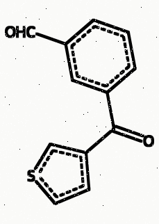 O=Cc1cccc(C(=O)c2ccsc2)c1